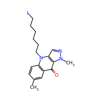 Cc1ccc2c(c1)c(=O)c1c(cnn1C)n2CCCCCCI